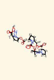 COC(=O)[C@]1(C)CCC(OC(=O)[C@@H]2CCC(COC(=O)[C@@H]3CCCN3)N2C(=O)OC(C)(C)C)N1